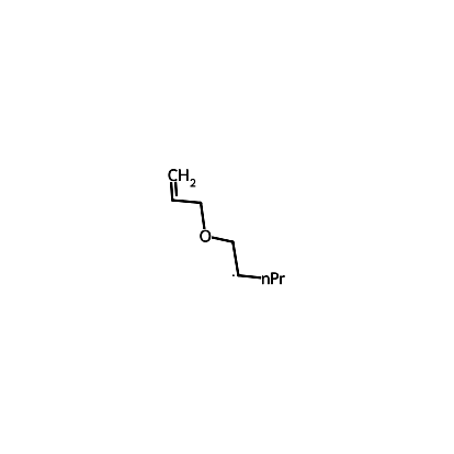 C=CCOC[CH]CCC